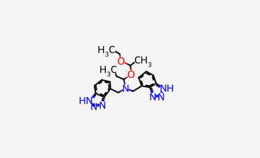 CCOC(C)OC(CC)N(Cc1cccc2[nH]nnc12)Cc1cccc2[nH]nnc12